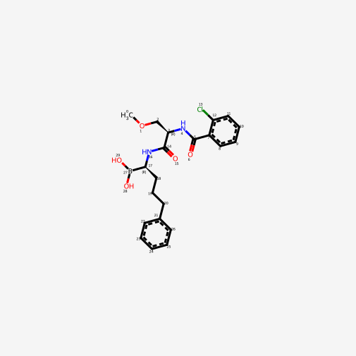 COC[C@@H](NC(=O)c1ccccc1Cl)C(=O)N[C@@H](CCCc1ccccc1)B(O)O